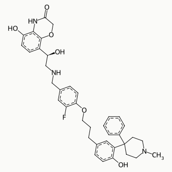 CN1CCC(c2ccccc2)(c2cc(CCCOc3ccc(CNC[C@H](O)c4ccc(O)c5c4OCC(=O)N5)cc3F)ccc2O)CC1